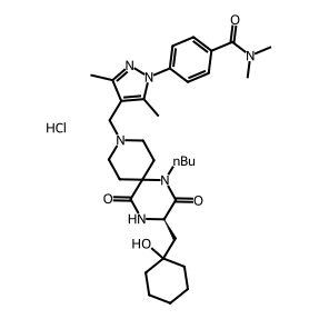 CCCCN1C(=O)[C@@H](CC2(O)CCCCC2)NC(=O)C12CCN(Cc1c(C)nn(-c3ccc(C(=O)N(C)C)cc3)c1C)CC2.Cl